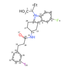 CCC(C(=O)O)n1c2c(c3cc(F)ccc31)CC(NC(=O)CCc1cccc(I)c1)CC2